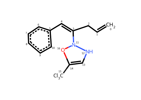 C=CCC(=Cc1ccccc1)N1NC=C(C(Cl)(Cl)Cl)O1